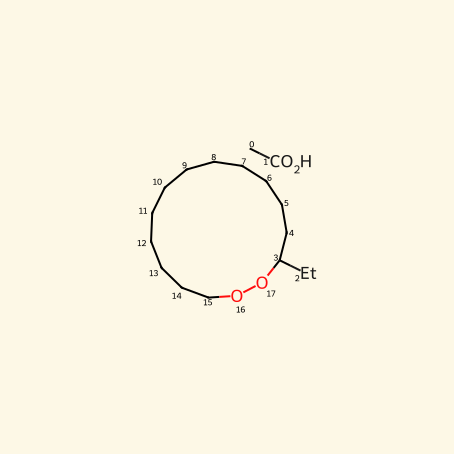 CC(=O)O.CCC1CCCCCCCCCCCCOO1